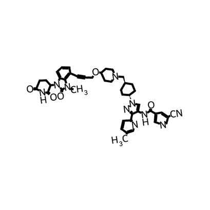 Cc1ccc(-c2nn([C@H]3CC[C@H](CN4CCC(OCC#Cc5cccc6c5n(C)c(=O)n6C5CCC(=O)NC5=O)CC4)CC3)cc2NC(=O)c2cncc(C#N)c2)nc1